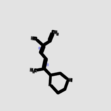 C=C/C(O)=C\C=C(/C)C1CNCCS1